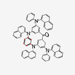 O=C(c1cc(N(c2ccccc2)c2cccc3ccccc23)cc(N(c2ccccc2)c2cccc3ccccc23)c1)C1C=C(N(c2ccccc2)c2cccc3ccccc23)C=C(N(c2ccccc2)c2cccc3ccccc23)C1